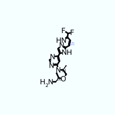 C[C@H]1CO[C@@H](CN)CN1c1cc(-c2cnc(/C=C\C(=N)C(F)F)[nH]2)ncn1